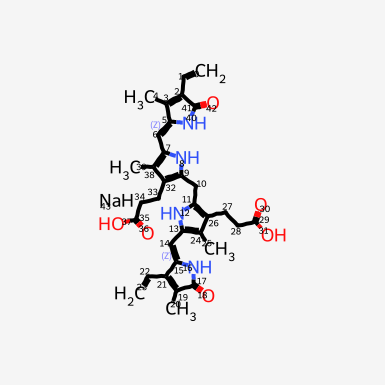 C=CC1=C(C)/C(=C/c2[nH]c(Cc3[nH]c(/C=C4\NC(=O)C(C)=C4C=C)c(C)c3CCC(=O)O)c(CCC(=O)O)c2C)NC1=O.[NaH]